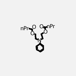 CCCC(=O)OCCN(CCOC(=O)CCC)c1ccccc1